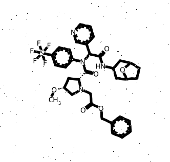 CO[C@@H]1C[C@H](C(=O)N(c2ccc(S(F)(F)(F)(F)F)cc2)C(C(=O)NC2CC3CCC(C2)O3)c2cccnc2)N(CC(=O)OCc2ccccc2)C1